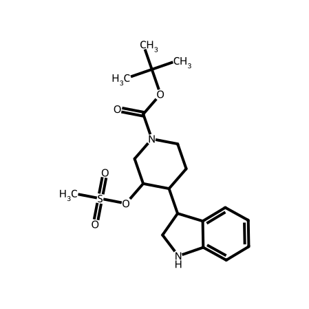 CC(C)(C)OC(=O)N1CCC(C2CNc3ccccc32)C(OS(C)(=O)=O)C1